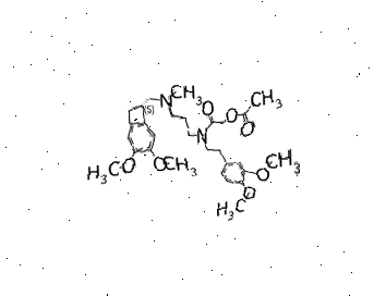 COc1ccc(CCN(CCCN(C)C[C@H]2Cc3cc(OC)c(OC)cc32)C(=O)COC(C)=O)cc1OC